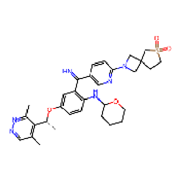 Cc1cnnc(C)c1[C@@H](C)Oc1ccc(NC2CCCCO2)c(C(=N)c2ccc(N3CC4(CCS(=O)(=O)C4)C3)nc2)c1